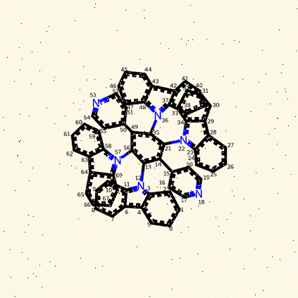 c1ccc2c(c1)c1ccccc1n2-c1c(-c2ccncc2)c(-n2c3ccccc3c3ccccc32)c(-n2c3ccccc3c3ccccc32)c(-c2ccncc2)c1-n1c2ccccc2c2ccccc21